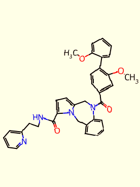 COc1ccccc1-c1ccc(C(=O)N2Cc3ccc(C(=O)NCCc4ccccn4)n3Cc3ccccc32)cc1OC